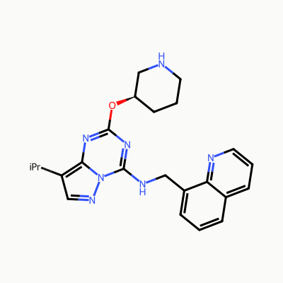 CC(C)c1cnn2c(NCc3cccc4cccnc34)nc(O[C@@H]3CCCNC3)nc12